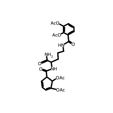 CC(=O)OC1=CC=CC(C(=O)NC(CCCNC(=O)c2cccc(OC(C)=O)c2OC(C)=O)C(N)=O)C1OC(C)=O